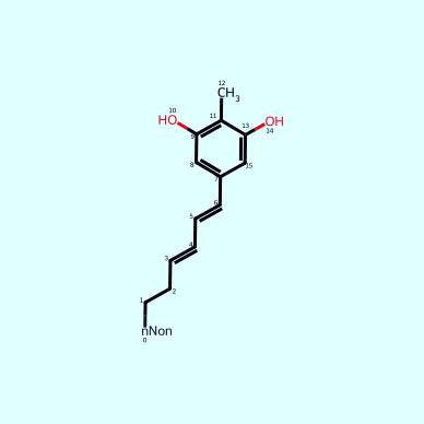 CCCCCCCCCCCC=CC=Cc1cc(O)c(C)c(O)c1